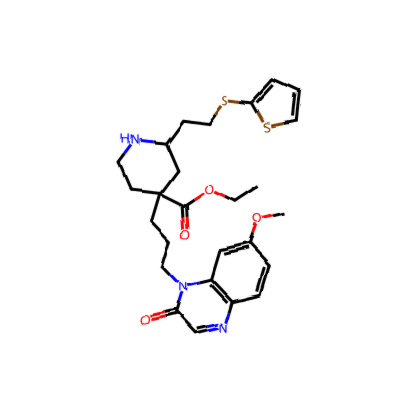 CCOC(=O)C1(CCCn2c(=O)cnc3ccc(OC)cc32)CCNC(CCSc2cccs2)C1